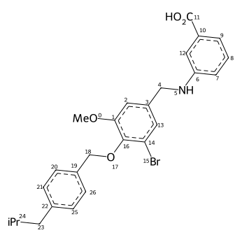 COc1cc(CNc2cccc(C(=O)O)c2)cc(Br)c1OCc1ccc(CC(C)C)cc1